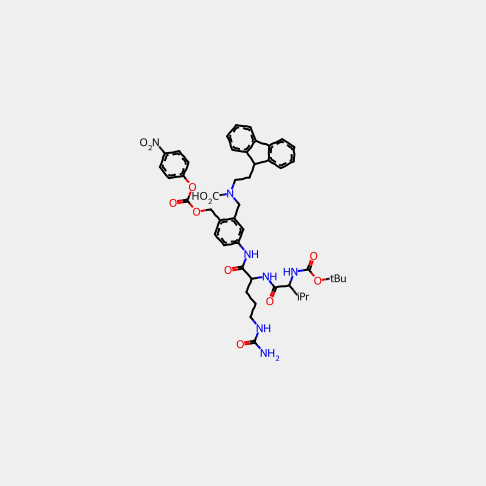 CC(C)C(NC(=O)OC(C)(C)C)C(=O)NC(CCCNC(N)=O)C(=O)Nc1ccc(COC(=O)Oc2ccc([N+](=O)[O-])cc2)c(CN(CCC2c3ccccc3-c3ccccc32)C(=O)O)c1